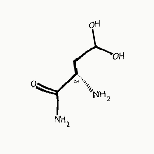 NC(=O)[C@@H](N)CC(O)O